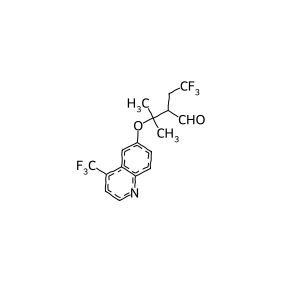 CC(C)(Oc1ccc2nccc(C(F)(F)F)c2c1)C(C=O)CC(F)(F)F